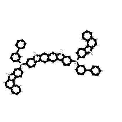 c1ccc(-c2cccc(N(c3ccc4c(c3)oc3cc5cc6oc7cc(N(c8cccc(-c9ccccc9)c8)c8ccc9c(c8)oc8ccc%10ccccc%10c89)ccc7c6cc5cc34)c3ccc4c(c3)oc3ccc5ccccc5c34)c2)cc1